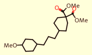 COC(=O)C1(C(=O)OC)CCC(CCCC2CCC(OC)CC2)CC1